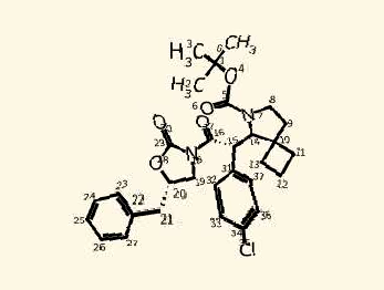 CC(C)(C)OC(=O)N1CCC2(CCC2)[C@H]1[C@@H](C(=O)N1C[C@H](Cc2ccccc2)OC1=O)c1ccc(Cl)cc1